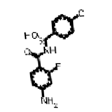 Nc1ccc(C(=O)N[C@H](O)c2ccc(Cl)cc2)c(F)c1